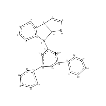 C1=CC2c3ccccc3N(c3nc(-c4ccccc4)cc(-c4ccccc4)n3)C2S1